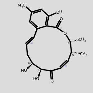 Cc1cc(O)c2c(c1)/C=C/C[C@H](O)[C@H](O)C(=O)/C=C\[C@@H](C)[C@@H](C)OC2=O